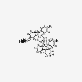 Br.Br.O.O=C(c1ccc(F)cc1)C1(c2ccccc2)CCNCC1.O=C(c1ccc(F)cc1)C1(c2ccccc2)CCNCC1